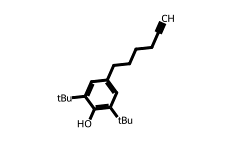 C#CCCCCc1cc(C(C)(C)C)c(O)c(C(C)(C)C)c1